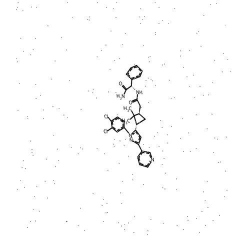 CC1(C)[C@@H](CC(=O)N[C@H](C(N)=O)c2ccccc2)C[C@@H]1c1cc(-c2cccnc2)nn1-c1ccc(Cl)c(Cl)c1